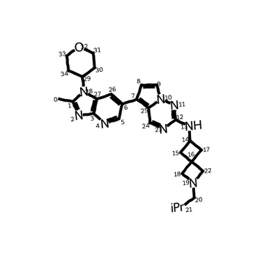 Cc1nc2ncc(-c3ccn4nc(NC5CC6(C5)CN(CC(C)C)C6)ncc34)cc2n1C1CCOCC1